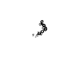 O=C(c1ccc(CN2CCN(C3CCC(c4ncc(C(F)(F)F)cc4F)CC3)C2=O)cc1)N1CCCC1